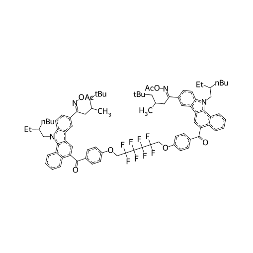 CCCCC(CC)Cn1c2ccc(/C(CC(C)CC(C)(C)C)=N/OC(C)=O)cc2c2cc(C(=O)c3ccc(OCC(F)(F)C(F)(F)C(F)(F)C(F)(F)COc4ccc(C(=O)c5cc6c7cc(/C(CC(C)CC(C)(C)C)=N/OC(C)=O)ccc7n(CC(CC)CCCC)c6c6ccccc56)cc4)cc3)c3ccccc3c21